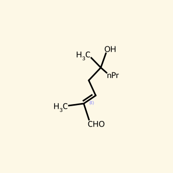 CCCC(C)(O)C/C=C(\C)C=O